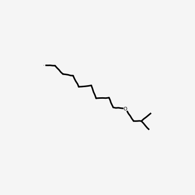 [CH2]CCCCCCCCOCC(C)C